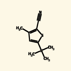 Cc1cc([Si](C)(C)C)sc1C#N